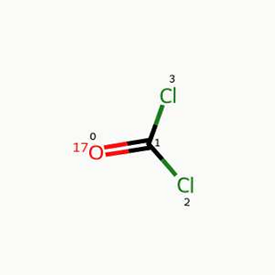 [17O]=C(Cl)Cl